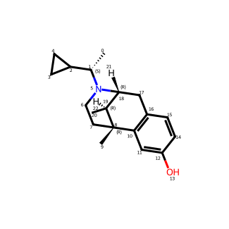 C[C@@H](C1CC1)N1CC[C@@]2(C)c3cc(O)ccc3C[C@@H]1[C@@H]2C